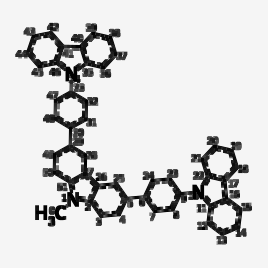 Cn1c2ccc(-c3ccc(-n4c5ccccc5c5ccccc54)cc3)cc2c2cc(-c3ccc(-n4c5ccccc5c5ccccc54)cc3)ccc21